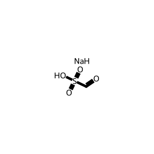 O=CS(=O)(=O)O.[NaH]